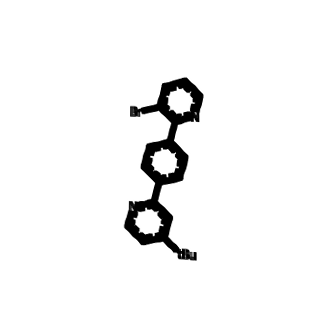 CC(C)(C)c1ccnc(-c2ccc(-c3ncccc3Br)cc2)c1